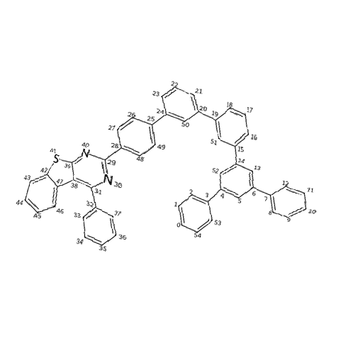 c1ccc(-c2cc(-c3ccccc3)cc(-c3cccc(-c4cccc(-c5ccc(-c6nc(-c7ccccc7)c7c(n6)sc6ccccc67)cc5)c4)c3)c2)cc1